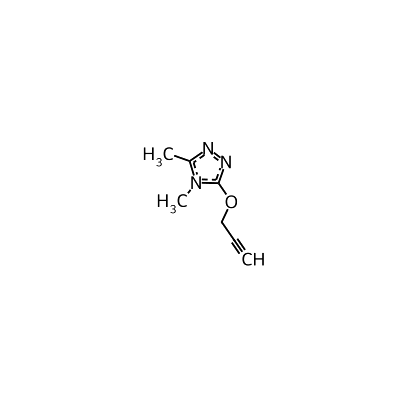 C#CCOc1nnc(C)n1C